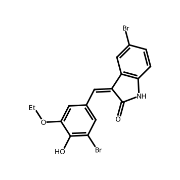 CCOc1cc(C=C2C(=O)Nc3ccc(Br)cc32)cc(Br)c1O